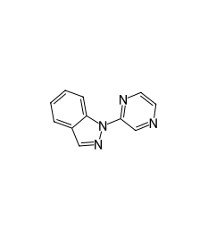 c1ccc2c(c1)cnn2-c1cnccn1